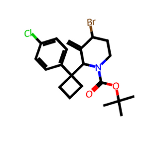 C=C1C(Br)CCN(C(=O)OC(C)(C)C)C1C1(c2ccc(Cl)cc2)CCC1